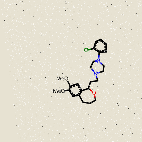 COc1cc2c(cc1OC)C(CCN1CCN(c3ccccc3Cl)CC1)OCCC2